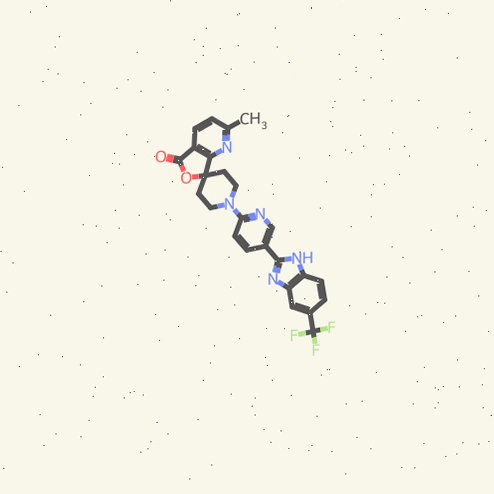 Cc1ccc2c(n1)C1(CCN(c3ccc(-c4nc5cc(C(F)(F)F)ccc5[nH]4)cn3)CC1)OC2=O